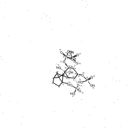 CC1(C)C2CCC1(C)C1(C2)[C@]2(O)[C@@H](OP(=O)(O)O)[C@H](OP(=O)(O)O)[C@@H](OP(=O)(O)O)[C@H](OP(=O)(O)O)[C@]12O